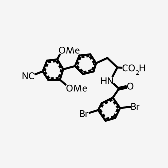 COc1cc(C#N)cc(OC)c1-c1ccc(CC(NC(=O)c2cc(Br)ccc2Br)C(=O)O)cc1